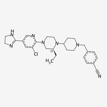 CC[C@H]1CN(c2ncc(C3=NCCN3)cc2Cl)CCN1C1CCN(Cc2ccc(C#N)cc2)CC1